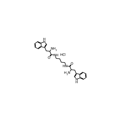 Cl.NC(Cc1c[nH]c2ccccc12)C(=O)NCCCCNC(=O)C(N)Cc1c[nH]c2ccccc12